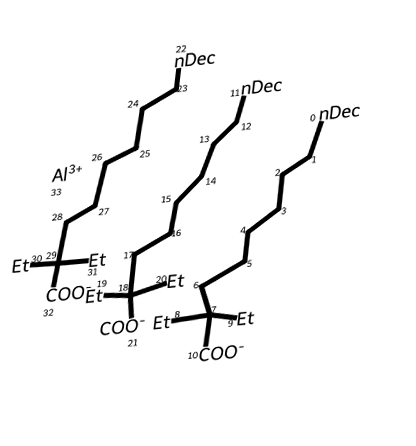 CCCCCCCCCCCCCCCCC(CC)(CC)C(=O)[O-].CCCCCCCCCCCCCCCCC(CC)(CC)C(=O)[O-].CCCCCCCCCCCCCCCCC(CC)(CC)C(=O)[O-].[Al+3]